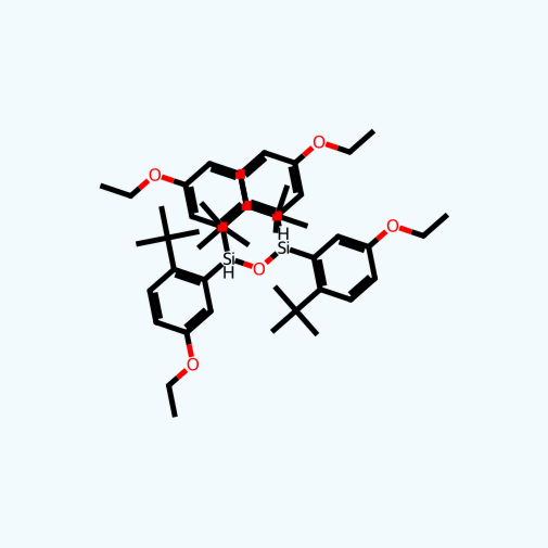 CCOc1ccc(C(C)(C)C)c([SiH](O[SiH](c2cc(OCC)ccc2C(C)(C)C)c2cc(OCC)ccc2C(C)(C)C)c2cc(OCC)ccc2C(C)(C)C)c1